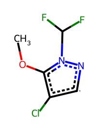 COc1c(Cl)[c]nn1C(F)F